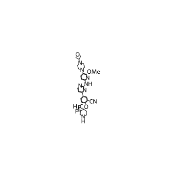 COc1nc(Nc2nccc(-c3ccc(OC4(C)CCNCC4(F)F)c(C#N)c3)n2)ccc1N1CCN(C2COC2)CC1